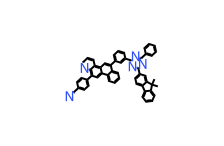 CC1(C)c2ccccc2-c2ccc(-c3nc(-c4ccccc4)nc(-c4cccc(-c5cc6c7cccnc7c(-c7ccc(C#N)cc7)cc6c6ccccc56)c4)n3)cc21